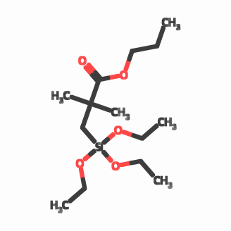 CCCOC(=O)C(C)(C)C[Si](OCC)(OCC)OCC